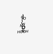 CCOC(=O)CCCc1nc2cc(N(O)O)ccc2n1C